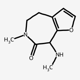 CNC1C(=O)N(C)CCc2ccoc21